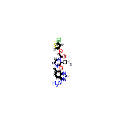 C[C@H]1C(=O)N(Cc2ccc3c(N)ncnc3c2)CCN1C(=O)COc1csc(Cl)c1